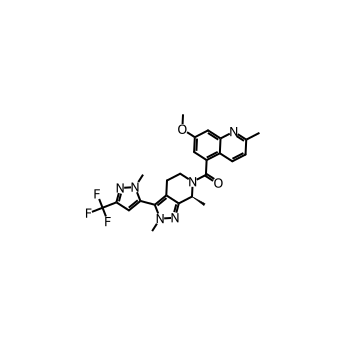 COc1cc(C(=O)N2CCc3c(nn(C)c3-c3cc(C(F)(F)F)nn3C)[C@@H]2C)c2ccc(C)nc2c1